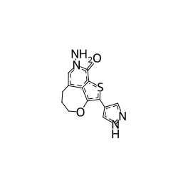 Nn1cc2c3c(c(-c4cn[nH]c4)sc3c1=O)OCCC2